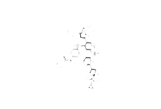 CN(C)C(=O)C1CCC(Nc2cc(Nc3ccnc(-c4cnn(S(=O)(=O)C5CC5)c4)n3)ncc2-c2cc(C(F)(F)F)n(C)n2)CC1